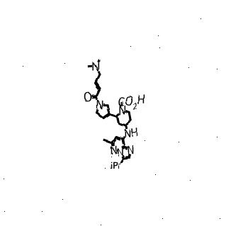 Cc1cc(NC2CCN(C(=O)O)C(C3CCN(C(=O)/C=C/CN(C)C)C3)C2)c2ncc(C(C)C)n2n1